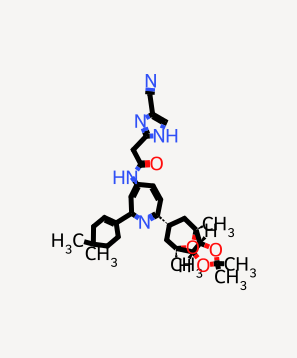 CC1(C)CC=C(C2C=C(NC(=O)Cc3nc(C#N)c[nH]3)C=CC([C@H]3C[C@@]4(C)O[C@@](C)(C3)[C@@H]3OC(C)(C)O[C@@H]34)=N2)CC1